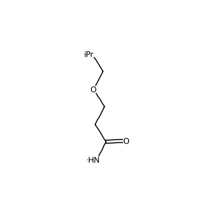 CC(C)COCCC([NH])=O